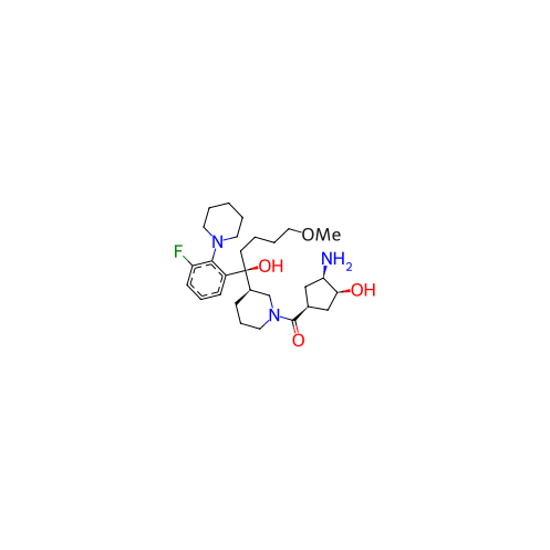 COCCCC[C@@](O)(c1cccc(F)c1N1CCCCC1)[C@@H]1CCCN(C(=O)[C@H]2C[C@@H](N)[C@@H](O)C2)C1